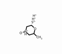 CC1C[NH+]([O-])CCO1.[H+].[H+].[S-2]